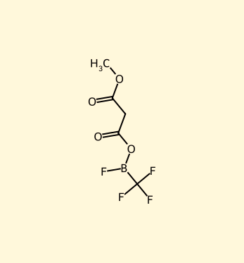 COC(=O)CC(=O)OB(F)C(F)(F)F